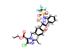 CCOC(=O)c1c(Cl)nc(CC)n1Cc1ccc2oc(-c3ccccc3NS(=O)(=O)C(F)(F)F)c(Br)c2c1